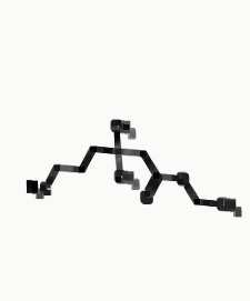 CCCCC(C)(C)CC(=O)OCC